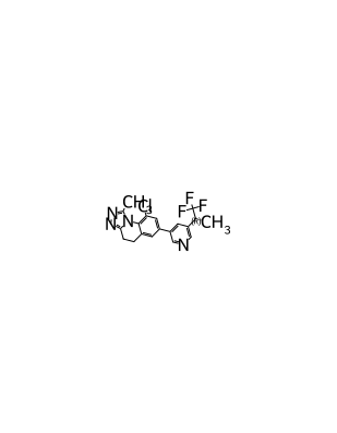 Cc1nnc2n1-c1c(Cl)cc(-c3cncc([C@@H](C)C(F)(F)F)c3)cc1CC2